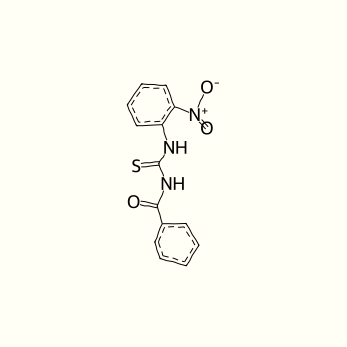 O=C(NC(=S)Nc1ccccc1[N+](=O)[O-])c1ccccc1